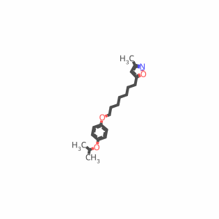 Cc1cc(CCCCCCCOc2ccc(OC(C)C)cc2)on1